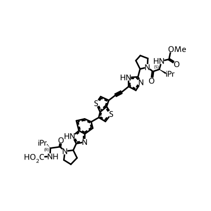 COC(=O)N[C@H](C(=O)N1CCCC1c1ncc(C#Cc2csc3c(-c4ccc5[nH]c(C6CCCN6C(=O)[C@H](NC(=O)O)C(C)C)nc5c4)csc23)[nH]1)C(C)C